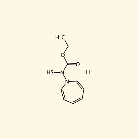 CCOC(=O)N(S)N1C=CC=CC=C1.[H+]